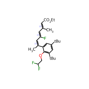 CCOC(=O)/C=C(C)/C=C(F)/C=C(/C)c1cc(C(C)(C)C)cc(C(C)(C)C)c1OCC(F)F